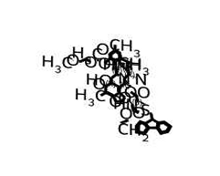 C=CCOC(=O)N[C@H](CSCC1c2ccccc2-c2ccccc21)C(=O)OC[C@H]1C2=C3OCOC3=C(C)C(=O)[C@@]2(O)CC2[C@H]3c4c(cc(C)c(OC)c4OCOCCOC)C[C@H]([C@H](C#N)N21)N3C